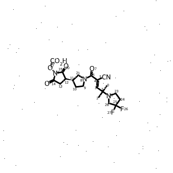 CC(C)(C=C(C#N)C(=O)N1CC[C@@H](C2CC(=O)N(OC(=O)O)C2=O)C1)N1CCC(F)(F)C1